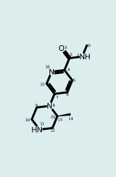 CNC(=O)c1ccc(N2CCNC[C@@H]2C)cn1